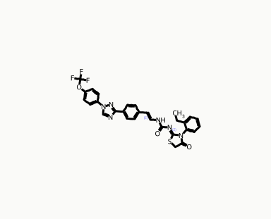 CCc1ccccc1N1C(=O)CS/C1=N\C(=O)N/C=C/c1ccc(-c2ncn(-c3ccc(OC(F)(F)F)cc3)n2)cc1